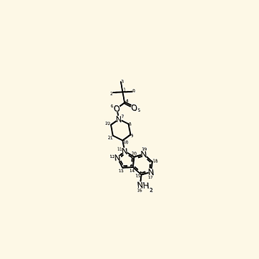 CC(C)(C)C(=O)ON1CCC(n2ncc3c(N)ncnc32)CC1